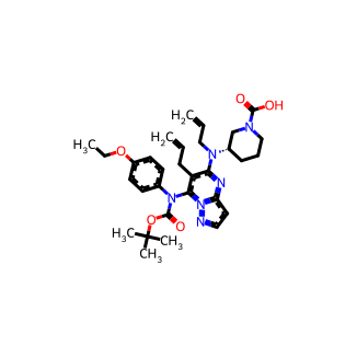 C=CCc1c(N(CC=C)[C@H]2CCCN(C(=O)O)C2)nc2ccnn2c1N(C(=O)OC(C)(C)C)c1ccc(OCC)cc1